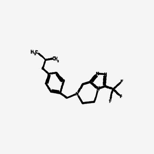 CC(C)Cc1ccc(CN2CCn3c(nnc3C(F)(F)F)C2)cc1